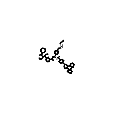 C=C/C=C\N=C/Cc1ccc(C(=C/C(=C)c2cccc(/C(C=C)=C(\C=C/C)C(/C)=C3/C=CCC=CC3)c2)/N=C(\C)c2ccc(-c3ccc4c5ccccc5c5ccccc5c4c3)cc2)cc1